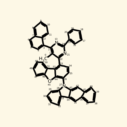 Cc1c(-c2cccc3ccccc23)nc(-c2ccccc2)nc1-c1ccc(-n2c3ccccc3c3cc4ccccc4cc32)c2oc3ccccc3c12